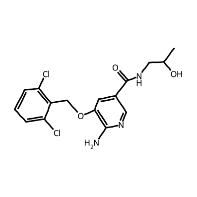 CC(O)CNC(=O)c1cnc(N)c(OCc2c(Cl)cccc2Cl)c1